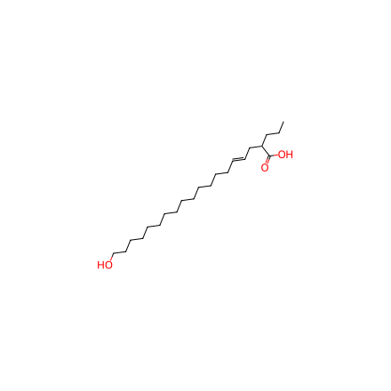 CCCC(C/C=C/CCCCCCCCCCCCCCO)C(=O)O